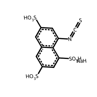 O=S(=O)(O)c1cc(N=C=S)c2c(S(=O)(=O)O)cc(S(=O)(=O)O)cc2c1.[NaH]